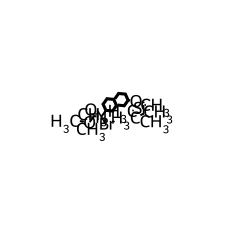 CC(C)(C)OC(=O)N(Br)c1ccc2ccc(O[Si](C)(C)C(C)(C)C)cc2c1